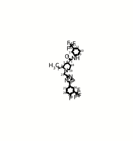 CC[C@H]1C[C@@H](C(=O)Nc2cccc(C(F)(F)F)c2)CCN1Cc1noc(-c2ccc(F)c(C(F)(F)F)c2)n1